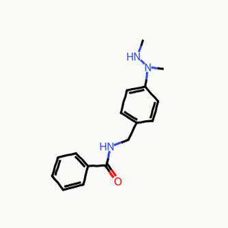 CNN(C)c1ccc(CNC(=O)c2ccccc2)cc1